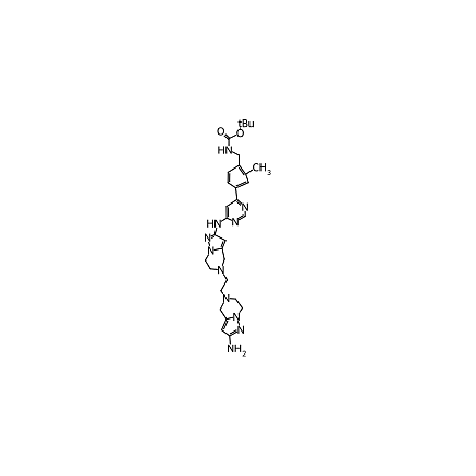 Cc1cc(-c2cc(Nc3cc4n(n3)CCN(CCN3CCn5nc(N)cc5C3)C4)ncn2)ccc1CNC(=O)OC(C)(C)C